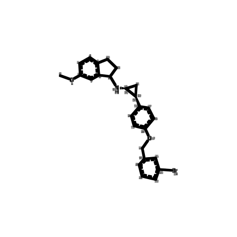 COc1ccc2c(c1)C(N[C@@H]1C[C@H]1c1ccc(OCc3cccc(Br)c3)cc1)CC2